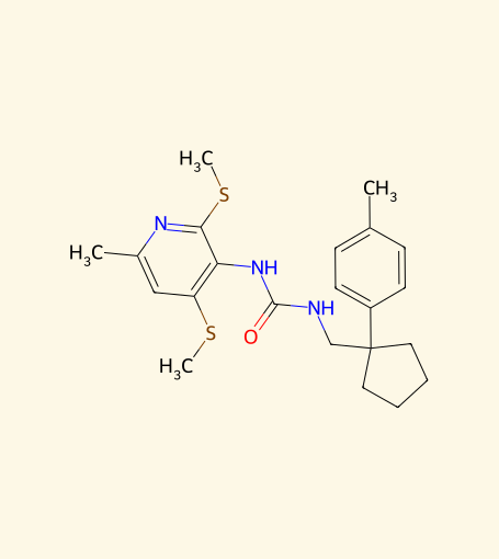 CSc1cc(C)nc(SC)c1NC(=O)NCC1(c2ccc(C)cc2)CCCC1